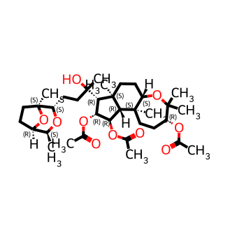 CC(=O)O[C@H]1[C@H](OC(C)=O)[C@H](C(C)(O)CC[C@@H]2O[C@@H](C)[C@H]3CC[C@]2(C)O3)[C@@]2(C)CC[C@@H]3OC(C)(C)[C@H](OC(C)=O)CC[C@@]3(C)[C@H]12